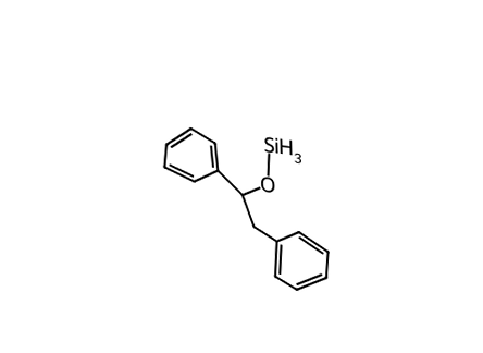 [SiH3]OC(Cc1ccccc1)c1ccccc1